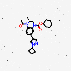 CC(=O)N1c2ccc(-c3cnn(C4CCC4)c3)cc2N(C(=O)OC2CCCCC2)C[C@@H]1C